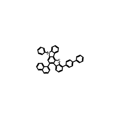 c1ccc(-c2ccc(-c3cccc4c3sc3c4c(-c4cccc5ccccc45)cc4c3c3ccccc3n4-c3ccccc3)cc2)cc1